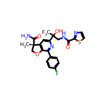 C[C@]1(C(N)=O)COc2c1cc(C(O)(CNC(=O)c1nccs1)C(F)(F)F)nc2-c1ccc(F)cc1